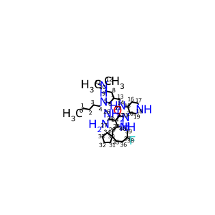 CCCCCNCC(CCN(C)C)CNC1CCNCC1NC(=O)C(C(N)N)C1CC2(CCCC2)CCC(F)CN1